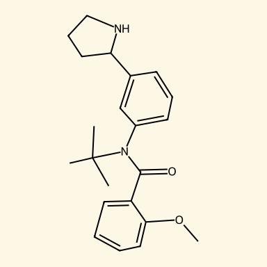 COc1ccccc1C(=O)N(c1cccc(C2CCCN2)c1)C(C)(C)C